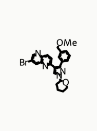 COCc1cccc(-c2nn(C3CCCCO3)cc2-c2ccc3ncc(Br)cc3n2)c1